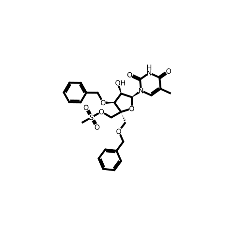 Cc1cn([C@H]2O[C@@](COCc3ccccc3)(COS(C)(=O)=O)[C@@H](OCc3ccccc3)[C@H]2O)c(=O)[nH]c1=O